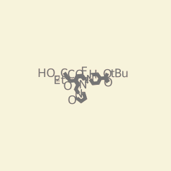 CCC(C(=O)O)(C(=O)O)C(=O)c1cc(F)c(N2CCC(C(=O)OC(C)(C)C)CC2)nc1CN1CCCC1=O